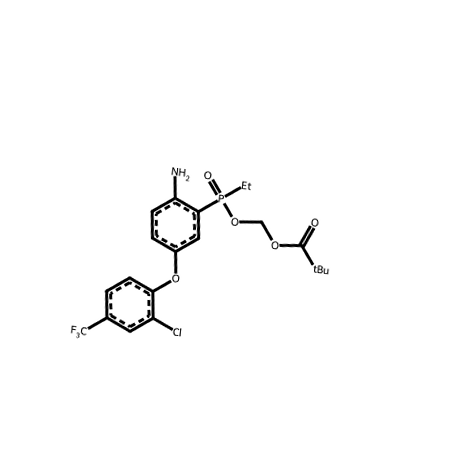 CCP(=O)(OCOC(=O)C(C)(C)C)c1cc(Oc2ccc(C(F)(F)F)cc2Cl)ccc1N